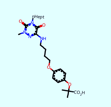 CCCCCCCn1c(=O)c(NCCCCOc2ccc(OC(C)(C)C(=O)O)cc2)nn(C)c1=O